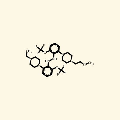 CCN1CCN(c2cccc(OC(F)(F)F)c2NNc2c(OC(F)(F)F)cccc2N2CCN(CCOC)CC2)CC1